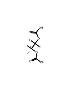 C[C@@](F)(OC(=O)O)C(F)(F)OC(=O)O